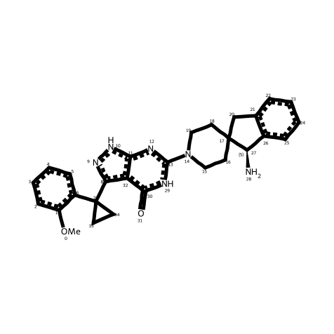 COc1ccccc1C1(c2n[nH]c3nc(N4CCC5(CC4)Cc4ccccc4[C@H]5N)[nH]c(=O)c23)CC1